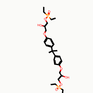 CCP(=O)(CC)OCC(O)COc1ccc(C(C)(C)c2ccc(OCC(O)COP(=O)(CC)CC)cc2)cc1